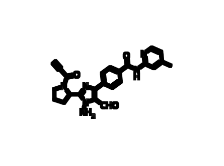 C#CC(=O)N1CCCC1c1nc(-c2ccc(C(=O)Nc3cc(C)ccn3)cc2)c(C=O)n1N